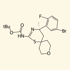 CC(C)(C)OC(=O)NC1=N[C@@](C)(c2cc(Br)ccc2F)CC2(CCOCC2)S1